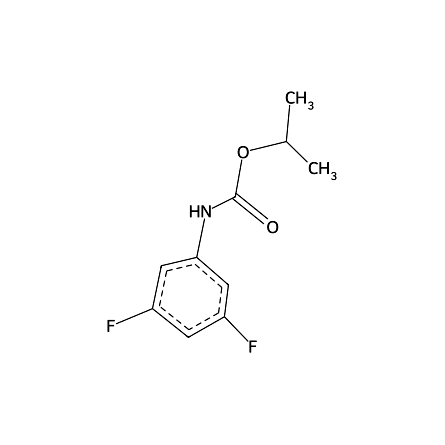 CC(C)OC(=O)Nc1cc(F)cc(F)c1